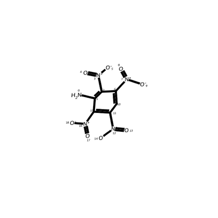 Nc1c([N+](=O)[O-])c([N+](=O)[O-])cc([N+](=O)[O-])c1[N+](=O)[O-]